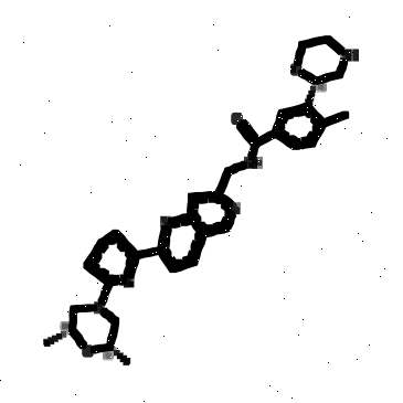 Cc1ccc(C(=O)NCc2cc3nc(-c4cccc(N5C[C@@H](C)O[C@@H](C)C5)n4)ccc3cn2)cc1[C@H]1CNCCO1